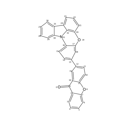 O=c1c2ccccc2oc2ccc(-c3ccc4c(c3)Oc3cccc5c6ccccc6n-4c35)cc12